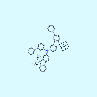 CC1(C)c2ccccc2-c2ccc(N(c3cccc(-c4ccccc4)c3)c3ccc4c(c3)-c3cc(-c5ccccc5)ccc3C43C4CC5CC6CC3C564)cc21